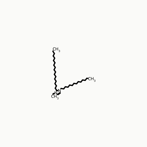 CCCCCCCCCCCCCCCCCCC1N(CC)C=CN1CCCCCCCCCCCCCC